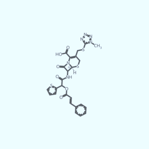 Cn1nnnc1SCC1=C(C(=O)O)N2C(=O)C(NC(=O)C(OC(=O)C=Cc3ccccc3)c3cccs3)[C@@H]2SC1